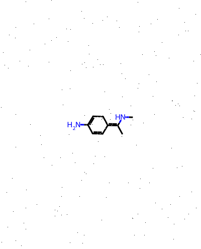 CN/C(C)=C1/C=CC(N)=CC1